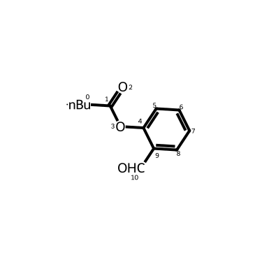 CCC[CH]C(=O)Oc1ccccc1C=O